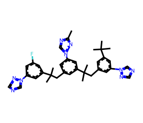 Cc1ncn(-c2cc(CC(C)(C)c3cc(F)cc(-n4cncn4)c3)cc(C(C)(C)Cc3cc(-n4cncn4)cc(C(C)(C)C)c3)c2)n1